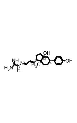 C[C@]12CC[C@H](c3ccc(O)cc3)C[C@@]1(O)CC[C@@H]2C=CC=NNC(=N)N